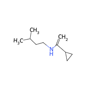 C=C(NCCC(C)C)C1CC1